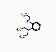 CCNc1ccccc1C(CC)CC